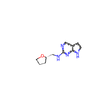 c1cc2cnc(NC[C@@H]3CCCO3)nc2[nH]1